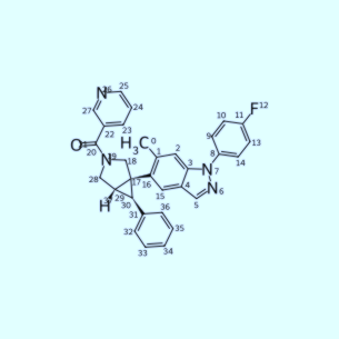 Cc1cc2c(cnn2-c2ccc(F)cc2)cc1[C@]12CN(C(=O)c3cccnc3)C[C@H]1[C@@H]2c1ccccc1